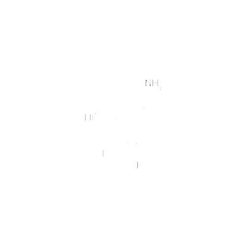 Cl.NC1CC(F)(F)C1